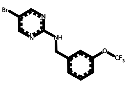 FC(F)(F)Oc1cccc(CNc2ncc(Br)cn2)c1